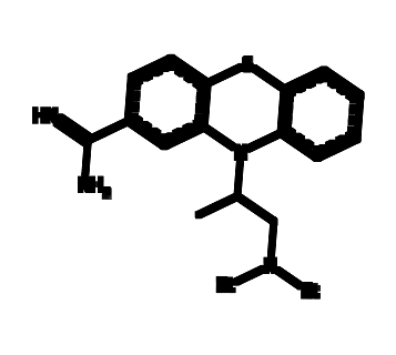 CCN(CC)CC(C)N1c2ccccc2Sc2ccc(C(=N)N)cc21